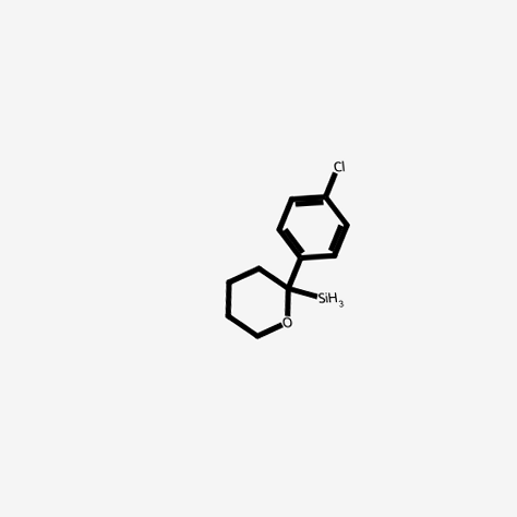 [SiH3]C1(c2ccc(Cl)cc2)CCCCO1